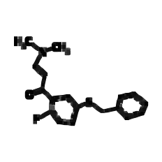 CN(C)/C=C/C(=O)c1cc(SCc2ccccc2)ccc1F